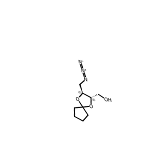 [N-]=[N+]=NC[C@@H]1OC2(CCCC2)O[C@H]1CO